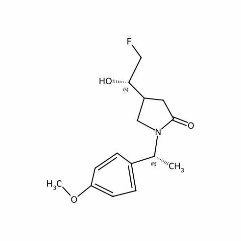 COc1ccc([C@@H](C)N2CC([C@H](O)CF)CC2=O)cc1